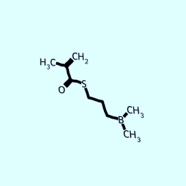 C=C(C)C(=O)SCCCB(C)C